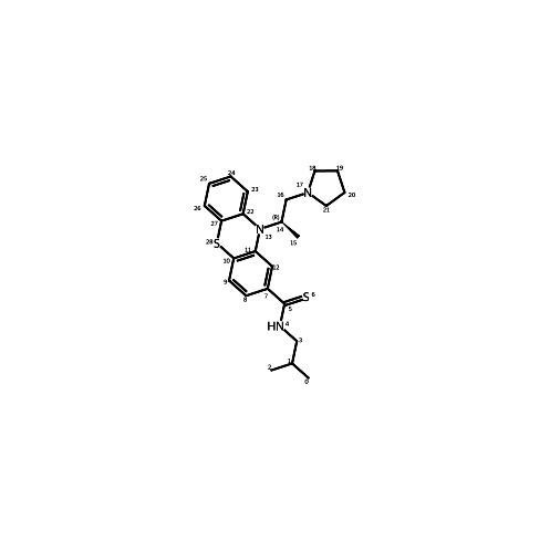 CC(C)CNC(=S)c1ccc2c(c1)N([C@H](C)CN1CCCC1)c1ccccc1S2